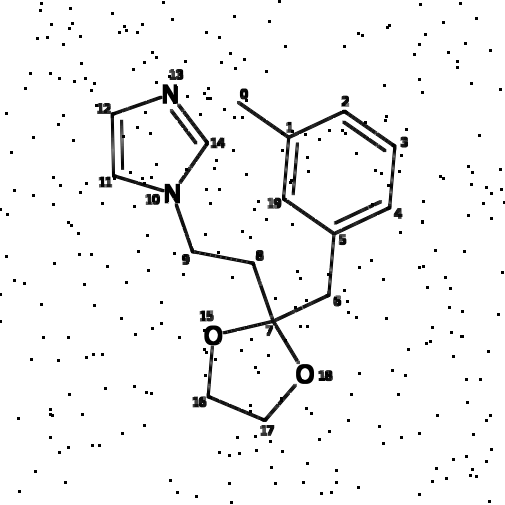 Cc1cccc(CC2(CCn3ccnc3)OCCO2)c1